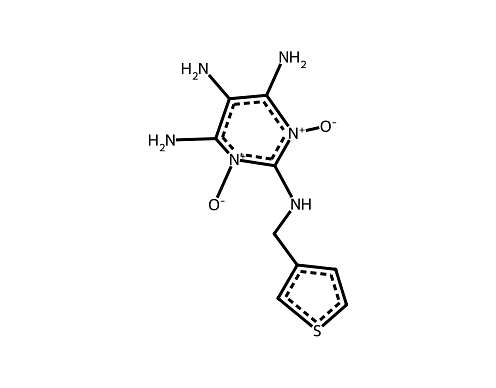 Nc1c(N)[n+]([O-])c(NCc2ccsc2)[n+]([O-])c1N